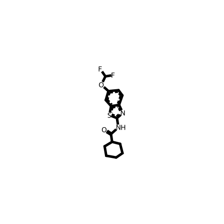 O=C(Nc1nc2ccc(OC(F)F)cc2s1)C1CCCCC1